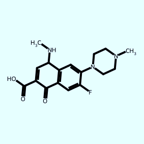 CNC1C=C(C(=O)O)C(=O)c2cc(F)c(N3CCN(C)CC3)cc21